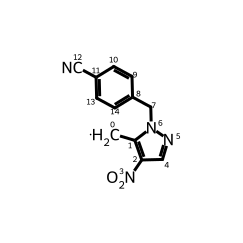 [CH2]c1c([N+](=O)[O-])cnn1Cc1ccc(C#N)cc1